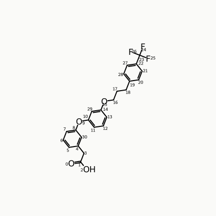 O=C(O)Cc1cccc(Oc2cccc(OCCCc3ccc(C(F)(F)F)cc3)c2)c1